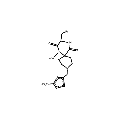 CCCCN1C(=O)C(CC(C)C)NC(=O)C12CCN(Cc1ccc(C(=O)O)s1)CC2